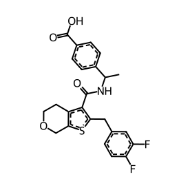 CC(NC(=O)c1c(Cc2ccc(F)c(F)c2)sc2c1CCOC2)c1ccc(C(=O)O)cc1